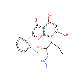 CCC(c1c(O)cc(O)c2c(=O)cc(-c3ccccc3Cl)oc12)C(O)CNC